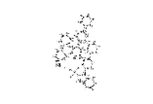 CC(C)(C)c1nc2ccccc2n1-c1cccc(-c2ccccc2-c2ccccc2-c2nc(-c3ccccc3)cc(-c3cccc(-c4ccc(N)cc4)c3)n2)c1